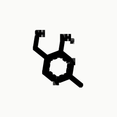 Cc1ncc(CS)c(N)n1